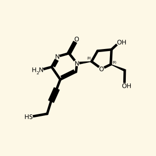 Nc1nc(=O)n([C@H]2CC(O)[C@@H](CO)O2)cc1C#CCS